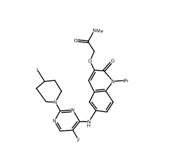 CNC(=O)COc1cc2cc(Nc3nc(N4CCC(I)CC4)ncc3F)ccc2n(C(C)C)c1=O